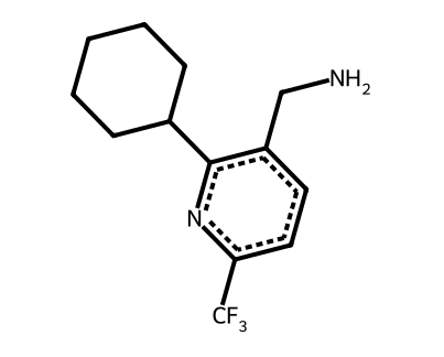 NCc1ccc(C(F)(F)F)nc1C1CCCCC1